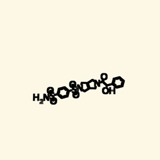 NS(=O)(=O)c1ccc(S(=O)(=O)N2CC3=C(CN(C(=O)[C@H](O)c4ccccc4)C3)C2)cc1